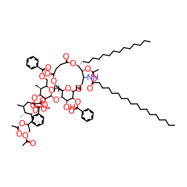 CCCCCCCCCCCCCCCCCC(=O)N[C@H]1CO[C@@H]2O[C@@H](COC(=O)CCC(=O)O[C@H](CCCCCCCCCCCCCC)[C@H]1OC(C)=O)[C@@H](O[C@@H]1OC(COC(=O)c3ccccc3)[C@H](C)[C@H](O[C@]3(C(=O)OC)CC(C)[C@@H](C)[C@H]([C@H](C)C(COC(C)=O)OC(C)=O)O3)C1OC(=O)c1ccccc1)C(O)C2OC(=O)c1ccccc1